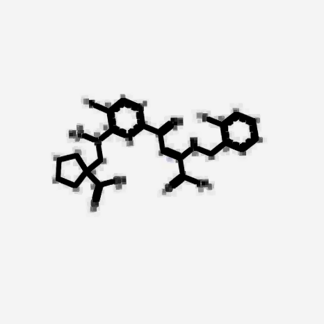 CC(=O)/C(=C/C(=N)c1ncc(F)c(N(C)CC2(C(=O)O)CCCC2)n1)NCc1ccccc1F